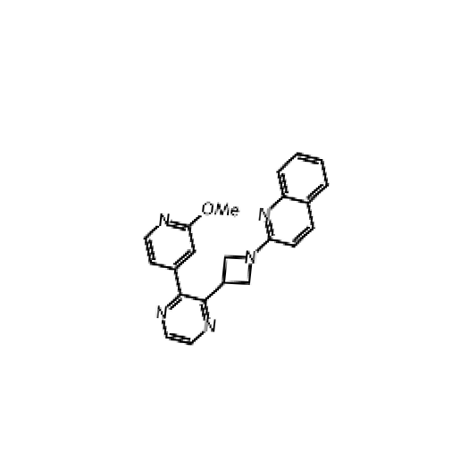 COc1cc(-c2nccnc2C2CN(c3ccc4ccccc4n3)C2)ccn1